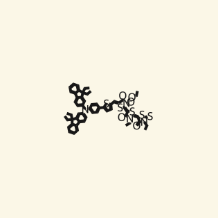 CCOOn1c(=O)/c(=C/c2ccc(-c3ccc(N(c4ccc5c(c4)C(CC)(CC)c4ccccc4-5)c4ccc5c(c4)C(CC)(CC)c4ccccc4-5)cc3)s2)s/c1=c1/s/c(=C2\SC(=S)N(CC)C2=O)n(CC)c1=O